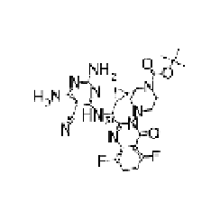 CC(C)(C)OC(=O)N1CCN(n2c([C@@H](Nc3nc(N)nc(N)c3C#N)C3CC3)nc3c(F)ccc(F)c3c2=O)CC1